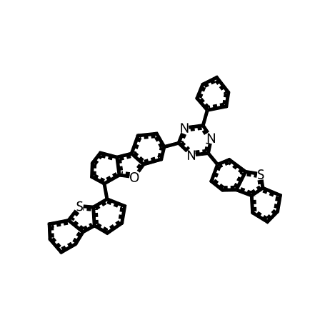 c1ccc(-c2nc(-c3ccc4c(c3)oc3c(-c5cccc6c5sc5ccccc56)cccc34)nc(-c3ccc4c(c3)sc3ccccc34)n2)cc1